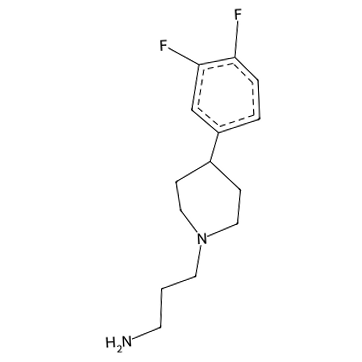 NCCCN1CCC(c2ccc(F)c(F)c2)CC1